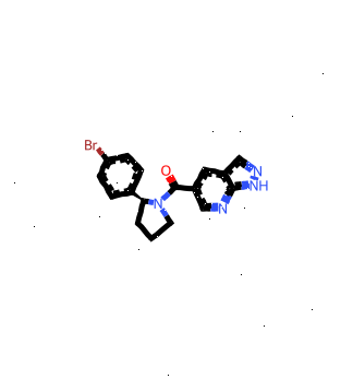 O=C(c1cnc2[nH]ncc2c1)N1CCC[C@H]1c1ccc(Br)cc1